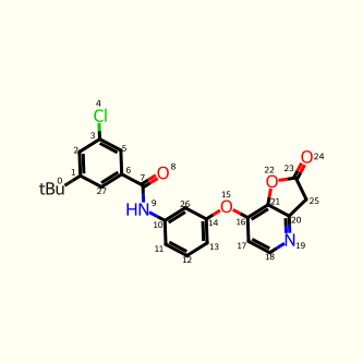 CC(C)(C)c1cc(Cl)cc(C(=O)Nc2cccc(Oc3ccnc4c3OC(=O)C4)c2)c1